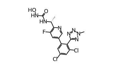 C[C@@H](NC(=O)NO)c1ncc(-c2cc(Cl)cc(Cl)c2-c2nnn(C)n2)cc1F